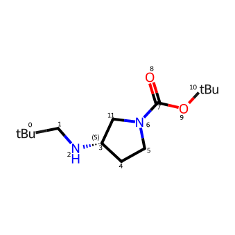 CC(C)(C)CN[C@H]1CCN(C(=O)OC(C)(C)C)C1